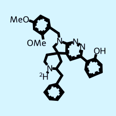 [2H]N1CCC2(CC1Cc1ccccc1)CN(Cc1ccc(OC)cc1OC)c1nnc(-c3ccccc3O)cc12